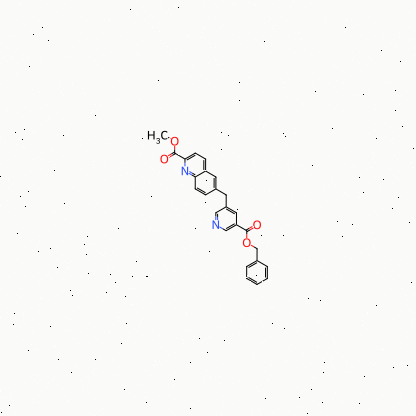 COC(=O)c1ccc2cc(Cc3cncc(C(=O)OCc4ccccc4)c3)ccc2n1